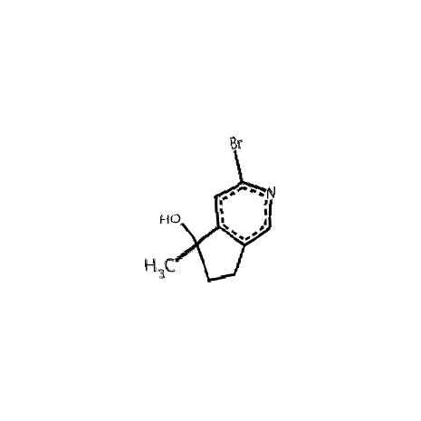 CC1(O)CCc2cnc(Br)cc21